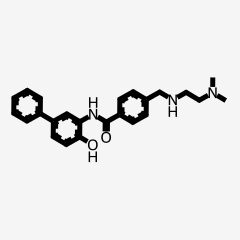 CN(C)CCNCc1ccc(C(=O)Nc2cc(-c3ccccc3)ccc2O)cc1